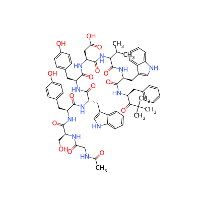 CC(=O)NCC(=O)N[C@@H](CO)C(=O)N[C@@H](Cc1ccc(O)cc1)C(=O)N[C@@H](Cc1c[nH]c2ccccc12)C(=O)N[C@@H](Cc1ccc(O)cc1)C(=O)N[C@@H](CC(=O)O)C(=O)NC(C(=O)N[C@@H](Cc1c[nH]c2ccccc12)C(=O)N[C@@H](Cc1ccccc1)C(=O)C(C)(C)C)C(C)C